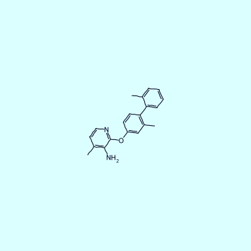 Cc1ccccc1-c1ccc(Oc2nccc(C)c2N)cc1C